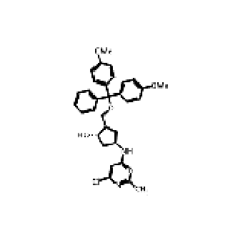 COc1ccc(C(OC[C@H]2C[C@@H](Nc3cc(Cl)nc(C)n3)C[C@@H]2O)(c2ccccc2)c2ccc(OC)cc2)cc1